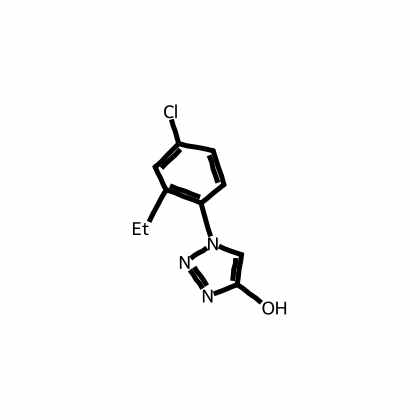 CCc1cc(Cl)ccc1-n1cc(O)nn1